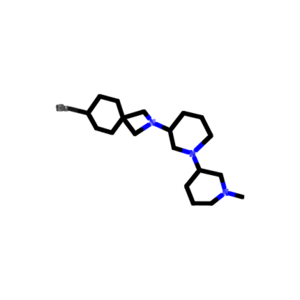 CN1CCCC(N2CCCC(N3CC4(CCC(C(C)(C)C)CC4)C3)C2)C1